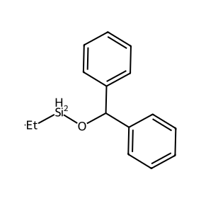 C[CH][SiH2]OC(c1ccccc1)c1ccccc1